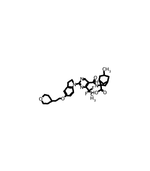 CC1CC2CC(C1)C(NC(=O)c1cnc(N3CCc4cc(OCCC5CCOCC5)ccc43)nc1C(C)(F)F)(C(=O)O)C2